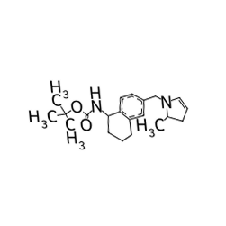 CC1CC=CN1Cc1ccc2c(c1)CCCC2NC(=O)OC(C)(C)C